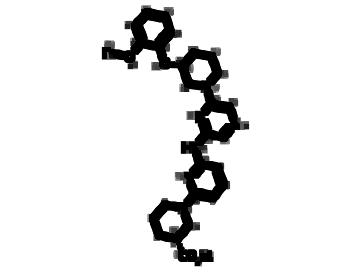 CCOC(=O)[C@@H]1CCCN(c2cccc(Nc3cncc(N4CCC[C@@H](Oc5ccccc5OCC)C4)n3)n2)C1